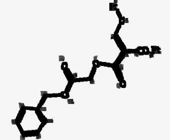 CCOC=C(C(=O)OCC)C(=O)OCC(=O)OCc1ccccc1